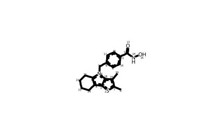 Cc1sc2c3c(n(Cc4ccc(C(=O)NO)cc4)c2c1C)CCCC3